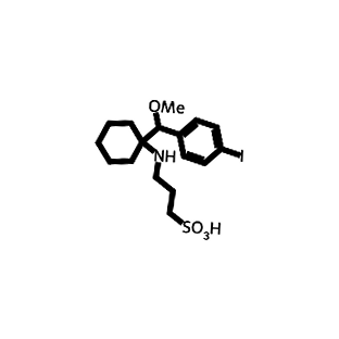 COC(c1ccc(I)cc1)C1(NCCCS(=O)(=O)O)CCCCC1